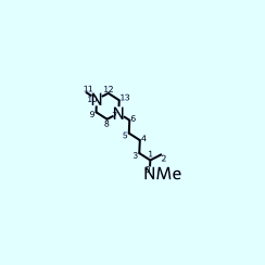 CNC(C)CCCCN1CCN(C)CC1